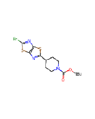 CC(C)(C)OC(=O)N1CCC(c2nc3sc(Br)nc3s2)CC1